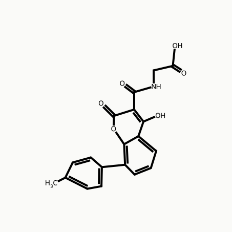 Cc1ccc(-c2cccc3c(O)c(C(=O)NCC(=O)O)c(=O)oc23)cc1